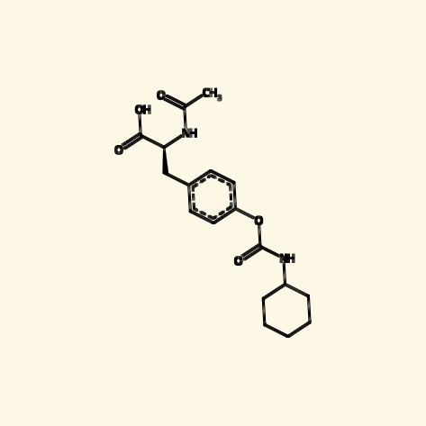 CC(=O)N[C@@H](Cc1ccc(OC(=O)NC2CCCCC2)cc1)C(=O)O